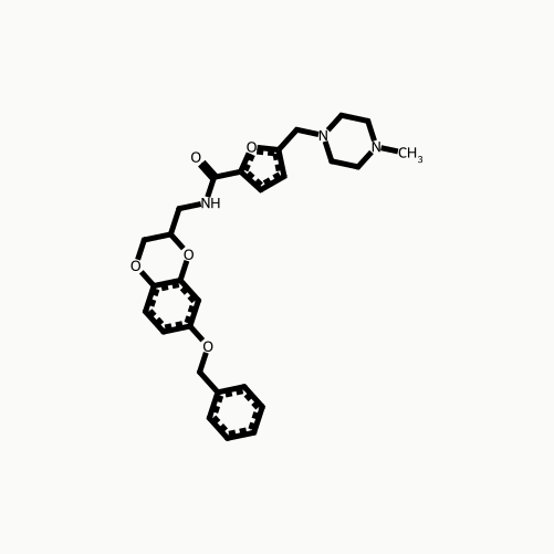 CN1CCN(Cc2ccc(C(=O)NCC3COc4ccc(OCc5ccccc5)cc4O3)o2)CC1